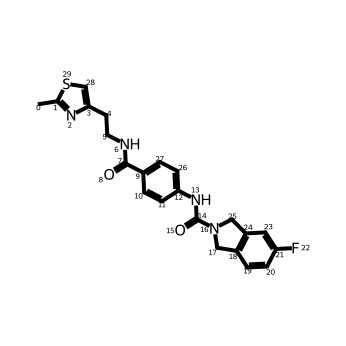 Cc1nc(CCNC(=O)c2ccc(NC(=O)N3Cc4ccc(F)cc4C3)cc2)cs1